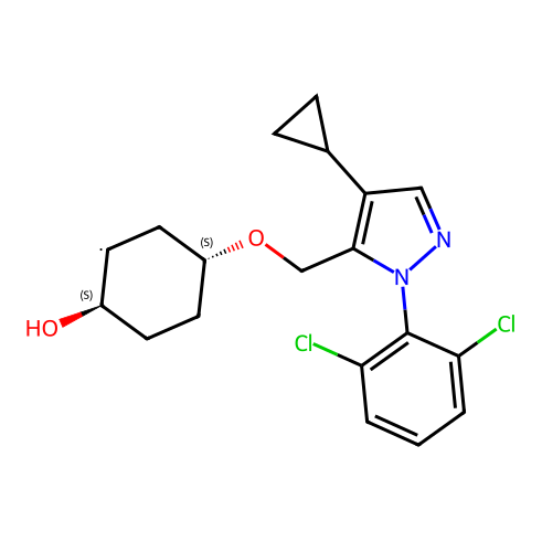 O[C@H]1[CH]C[C@H](OCc2c(C3CC3)cnn2-c2c(Cl)cccc2Cl)CC1